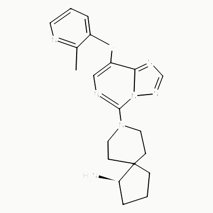 Cc1ncccc1Sc1cnc(N2CCC3(CCC[C@H]3N)CC2)n2ncnc12